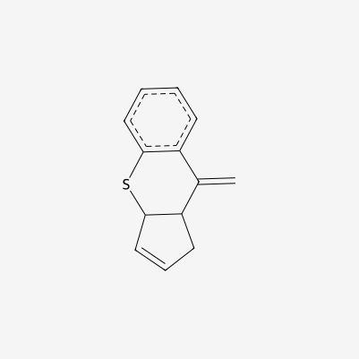 C=C1c2ccccc2SC2C=CCC12